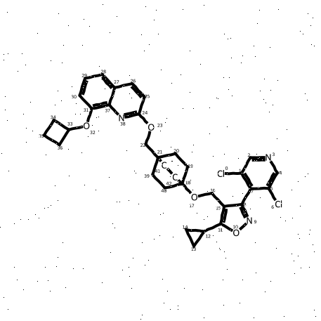 Clc1cncc(Cl)c1-c1noc(C2CC2)c1COC12CCC(COc3ccc4cccc(OC5CCC5)c4n3)(CC1)CC2